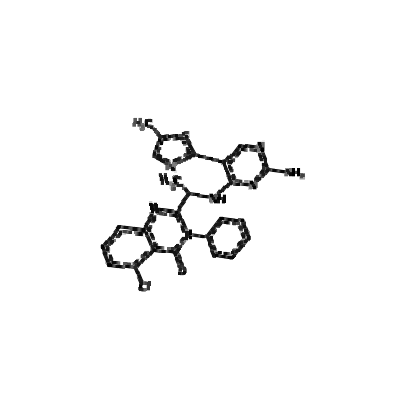 Cc1cnc(-c2cnc(N)nc2NC(C)c2nc3cccc(Cl)c3c(=O)n2-c2ccccc2)s1